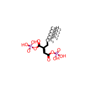 CC/C(=C\C(=O)OP(=O)(O)O)C(=O)OP(=O)(O)O.[CaH2].[CaH2].[CaH2].[CaH2]